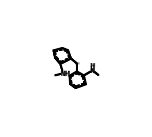 CNc1ccccc1[CH]c1ccccc1NC